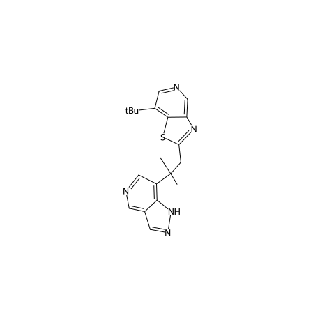 CC(C)(C)c1cncc2nc(CC(C)(C)c3cncc4cn[nH]c34)sc12